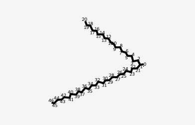 [CH2]C(CCCCCCCCCCCCCCCCCCC)CCCCCCCCCCCCCCCCCCCCCCCCCC